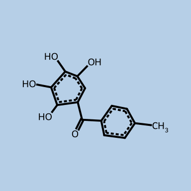 Cc1ccc(C(=O)c2cc(O)c(O)c(O)c2O)cc1